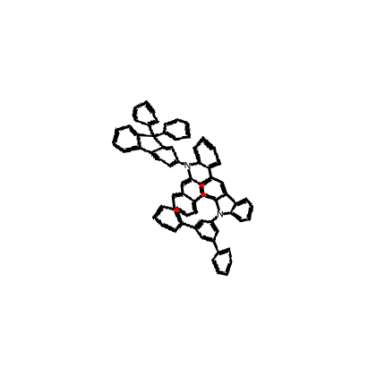 c1ccc(-c2cc(-c3ccccc3)cc(-n3c4ccccc4c4cc(-c5ccccc5N(c5ccc6c(c5)C(c5ccccc5)(c5ccccc5)c5ccccc5-6)c5ccc6ccccc6c5)ccc43)c2)cc1